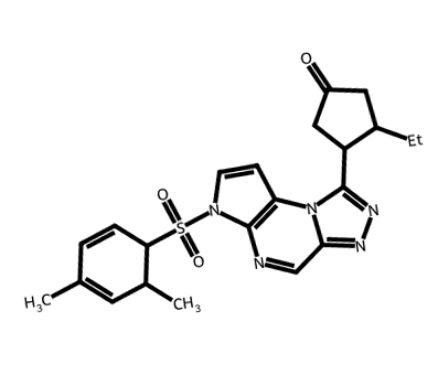 CCC1CC(=O)CC1c1nnc2cnc3c(ccn3S(=O)(=O)C3C=CC(C)=CC3C)n12